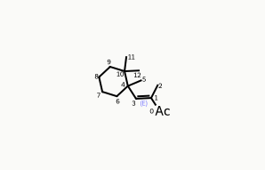 CC(=O)/C(C)=C/C1(C)CCCCC1(C)C